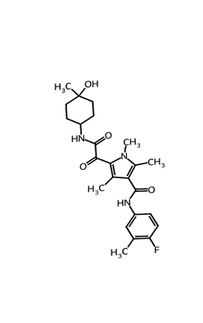 Cc1cc(NC(=O)c2c(C)c(C(=O)C(=O)NC3CCC(C)(O)CC3)n(C)c2C)ccc1F